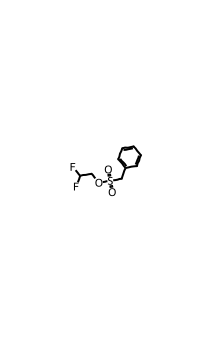 O=S(=O)(Cc1ccccc1)OCC(F)F